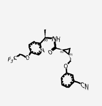 C[C@@H](NC(=O)[C@H]1C[C@@H]1COc1cccc(C#N)c1)c1ccc(OCC(F)(F)F)cn1